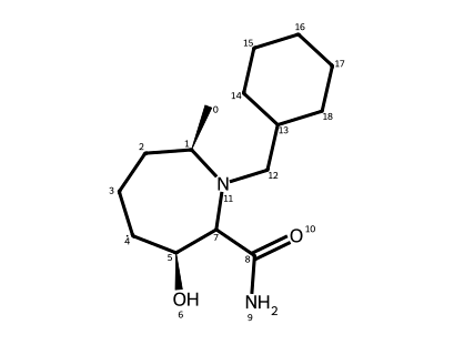 C[C@@H]1CC[CH][C@H](O)C(C(N)=O)N1CC1CCCCC1